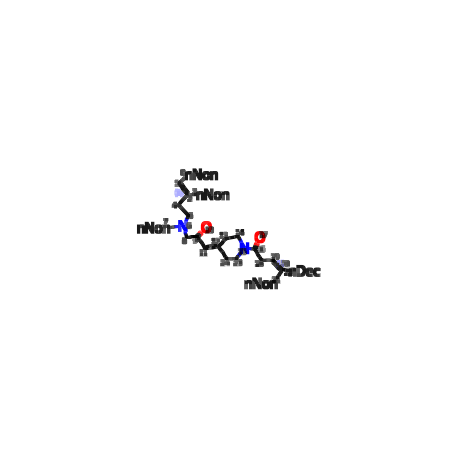 CCCCCCCCC/C=C(\CCCCCCCCC)CCN(CCCCCCCCC)CC(=O)C=C1CCN(C(=O)C/C=C(\CCCCCCCCC)CCCCCCCCCC)CC1